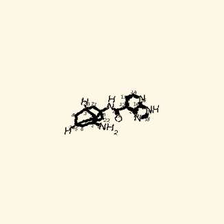 NC12C[C@@H]3C[C@@H](C1)CC(NC(=O)c1ccnc4[nH]cnc14)(C3)C2